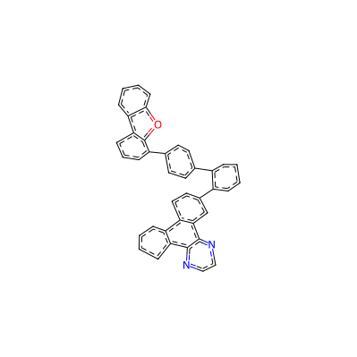 c1ccc(-c2ccc3c4ccccc4c4nccnc4c3c2)c(-c2ccc(-c3cccc4c3oc3ccccc34)cc2)c1